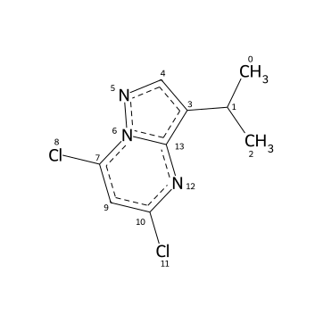 CC(C)c1cnn2c(Cl)cc(Cl)nc12